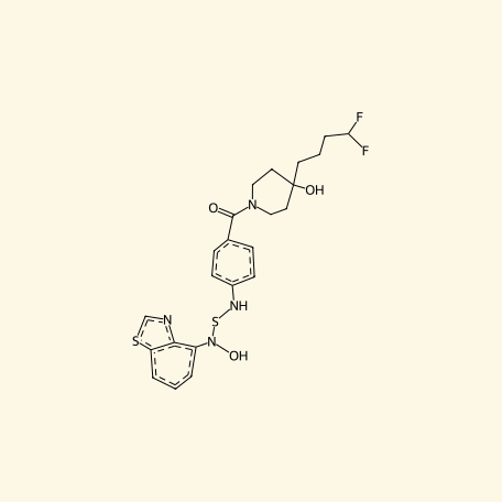 O=C(c1ccc(NSN(O)c2cccc3scnc23)cc1)N1CCC(O)(CCCC(F)F)CC1